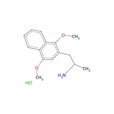 COc1cc(CC(C)N)c(OC)c2ccccc12.Cl